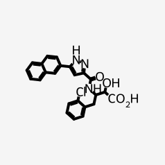 O=C(NC(Cc1ccccc1Cl)C(O)C(=O)O)c1cc(-c2ccc3ccccc3c2)[nH]n1